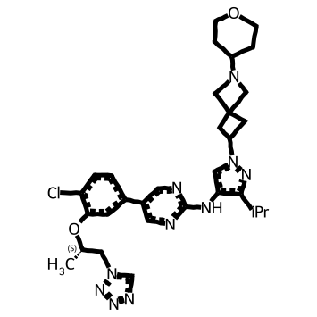 CC(C)c1nn(C2CC3(C2)CN(C2CCOCC2)C3)cc1Nc1ncc(-c2ccc(Cl)c(O[C@@H](C)Cn3cnnn3)c2)cn1